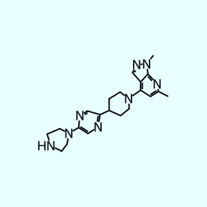 Cc1cc(N2CCC(c3cnc(N4CCNCC4)cn3)CC2)c2cnn(C)c2n1